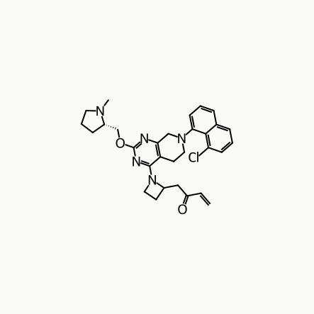 C=CC(=O)CC1CCN1c1nc(OC[C@@H]2CCCN2C)nc2c1CCN(c1cccc3cccc(Cl)c13)C2